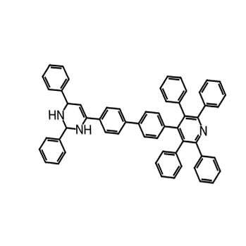 C1=C(c2ccc(-c3ccc(-c4c(-c5ccccc5)c(-c5ccccc5)nc(-c5ccccc5)c4-c4ccccc4)cc3)cc2)NC(c2ccccc2)NC1c1ccccc1